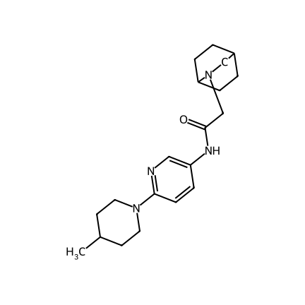 CC1CCN(c2ccc(NC(=O)CN3CC4CCC3CC4)cn2)CC1